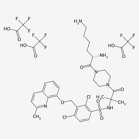 Cc1ccc2cccc(OCc3c(Cl)ccc(S(=O)(=O)NC(C)(C)C(=O)N4CCN(C(=O)[C@@H](N)CCCCN)CC4)c3Cl)c2n1.O=C(O)C(F)(F)F.O=C(O)C(F)(F)F.O=C(O)C(F)(F)F